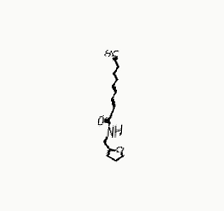 C#CCCC/C=C/C=C/C(=O)NCC1CCCO1